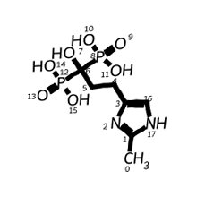 Cc1nc(CCC(O)(P(=O)(O)O)P(=O)(O)O)c[nH]1